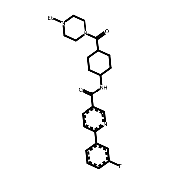 CCN1CCN(C(=O)C2CCC(NC(=O)c3ccc(-c4cccc(F)c4)nc3)CC2)CC1